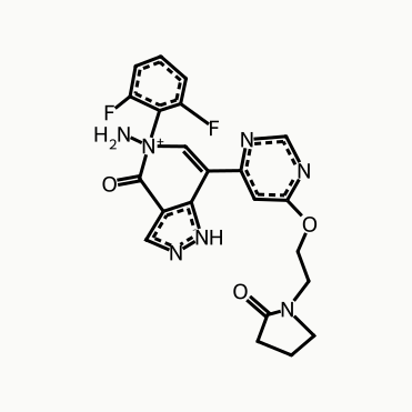 N[N+]1(c2c(F)cccc2F)C=C(c2cc(OCCN3CCCC3=O)ncn2)c2[nH]ncc2C1=O